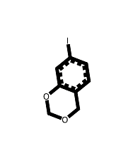 Ic1ccc2c(c1)OCOC2